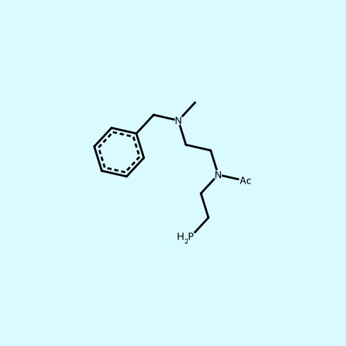 CC(=O)N(CCP)CCN(C)Cc1ccccc1